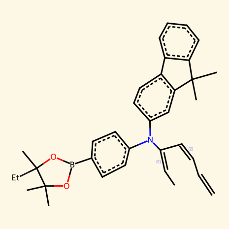 C=C/C=C\C(=C/C)N(c1ccc(B2OC(C)(C)C(C)(CC)O2)cc1)c1ccc2c(c1)C(C)(C)c1ccccc1-2